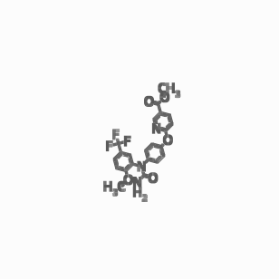 COC(=O)c1ccc(Oc2ccc(N(C(N)=O)c3cc(C(F)(F)F)ccc3OC)cc2)nc1